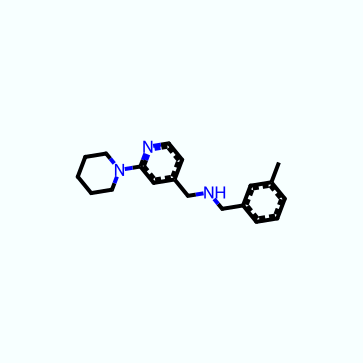 Cc1cccc(CNCc2ccnc(N3CCCCC3)c2)c1